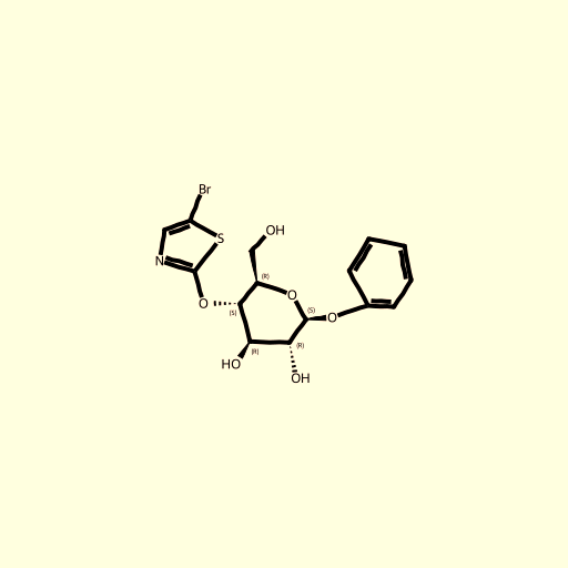 OC[C@H]1O[C@@H](Oc2ccccc2)[C@H](O)[C@@H](O)[C@@H]1Oc1ncc(Br)s1